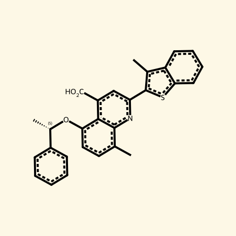 Cc1c(-c2cc(C(=O)O)c3c(O[C@@H](C)c4ccccc4)ccc(C)c3n2)sc2ccccc12